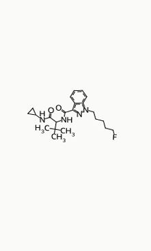 CC(C)(C)C(NC(=O)c1nn(CCCCCF)c2ccccc12)C(=O)NC1CC1